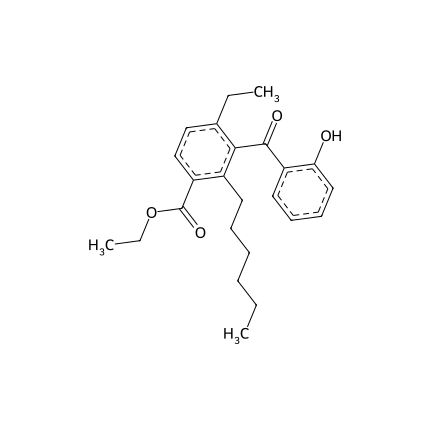 CCCCCCc1c(C(=O)OCC)ccc(CC)c1C(=O)c1ccccc1O